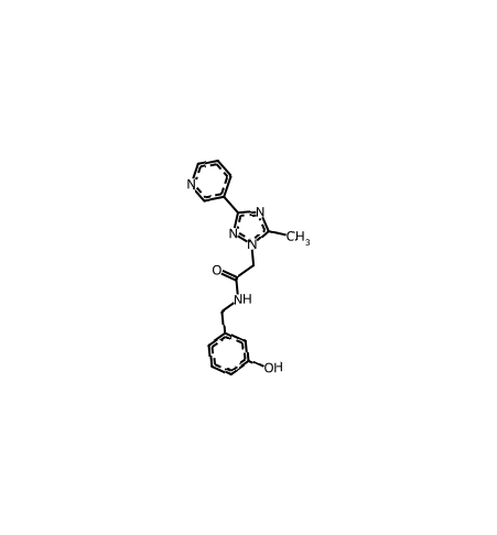 Cc1nc(-c2cccnc2)nn1CC(=O)NCc1cccc(O)c1